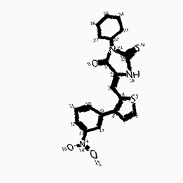 O=C1C(=Cc2sccc2-c2cccc([N+](=O)[O-])c2)NC(=S)N1C1CCCCC1